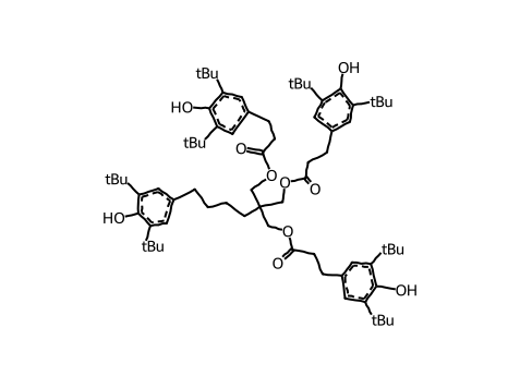 CC(C)(C)c1cc(CCCCC(COC(=O)CCc2cc(C(C)(C)C)c(O)c(C(C)(C)C)c2)(COC(=O)CCc2cc(C(C)(C)C)c(O)c(C(C)(C)C)c2)COC(=O)CCc2cc(C(C)(C)C)c(O)c(C(C)(C)C)c2)cc(C(C)(C)C)c1O